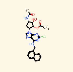 CCC(=O)N[C@H]1C[C@@H](n2cnc3c(NCc4cccc5ccccc45)nc(Cl)nc32)[C@H](OC(=O)C(F)(F)F)[C@@H]1O